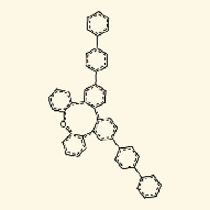 c1ccc(-c2ccc(-c3ccc4c(c3)c3ccccc3oc3ccccc3c3cc(-c5ccc(-c6ccccc6)cc5)ccc34)cc2)cc1